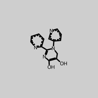 OC1=C(O)N=C(c2ccccn2)N(c2cccnc2)C1